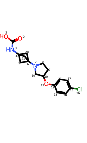 O=C(O)NC12CC(N3CCC(Oc4ccc(Cl)cc4)C3)(C1)C2